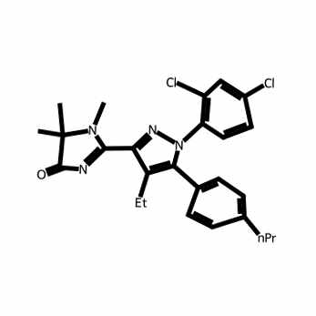 CCCc1ccc(-c2c(CC)c(C3=NC(=O)C(C)(C)N3C)nn2-c2ccc(Cl)cc2Cl)cc1